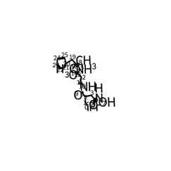 CC(C)C[C@H](CC(=O)NO)C(=O)NCCC(=O)NC(C)(C)Cc1ccccc1